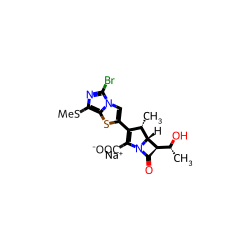 CSc1nc(Br)n2cc(C3=C(C(=O)[O-])N4C(=O)[C@H]([C@@H](C)O)[C@H]4[C@H]3C)sc12.[Na+]